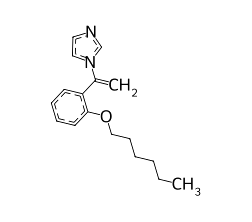 C=C(c1ccccc1OCCCCCC)n1ccnc1